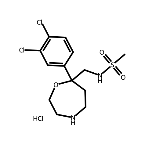 CS(=O)(=O)NCC1(c2ccc(Cl)c(Cl)c2)CCNCCO1.Cl